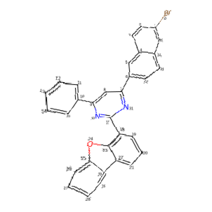 Brc1ccc2cc(-c3cc(-c4ccccc4)nc(-c4cccc5c4oc4ccccc45)n3)ccc2c1